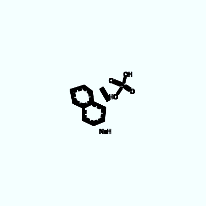 C=C.O=S(=O)(O)O.[NaH].c1ccc2ccccc2c1